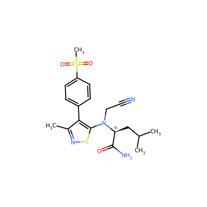 Cc1nsc(N(CC#N)[C@@H](CC(C)C)C(N)=O)c1-c1ccc(S(C)(=O)=O)cc1